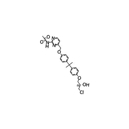 CC(C)(c1ccc(OCc2ccnc(NS(C)(=O)=O)n2)cc1)c1ccc(OC[C@H](O)CCl)cc1